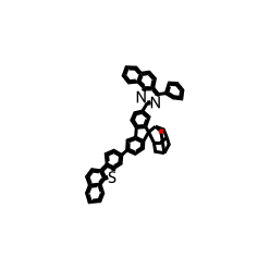 c1ccc(-c2nc(-c3ccc4c(c3)C3(c5ccc(-c6ccc7c(c6)sc6c8ccccc8ccc76)cc5-4)C4CC5CC(C4)CC3C5)nc3c2ccc2ccccc23)cc1